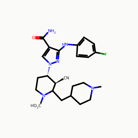 CN1CCC(CC2[C@H](C#N)[C@@H](n3cc(C(N)=O)c(Nc4ccc(F)cc4)n3)CCN2C(=O)O)CC1